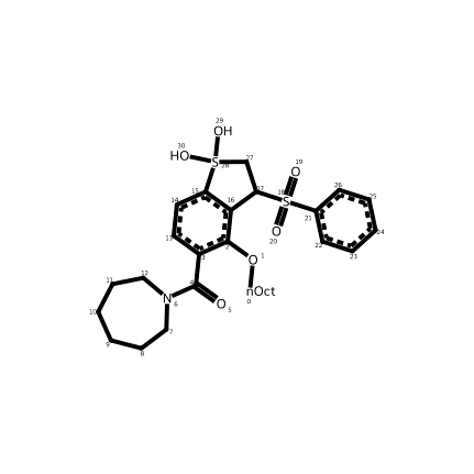 CCCCCCCCOc1c(C(=O)N2CCCCCC2)ccc2c1C(S(=O)(=O)c1ccccc1)CS2(O)O